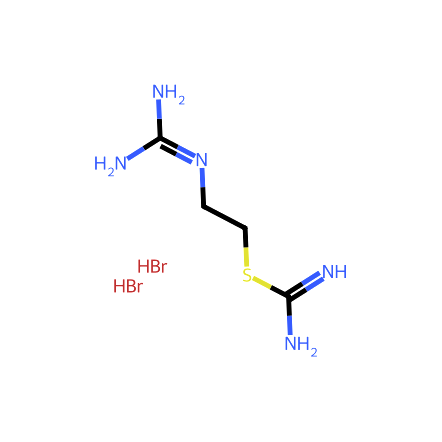 Br.Br.N=C(N)SCCN=C(N)N